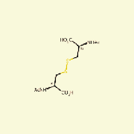 CC(=O)N[C@@H](CSSC[C@H](NC(C)=O)C(=O)O)C(=O)O